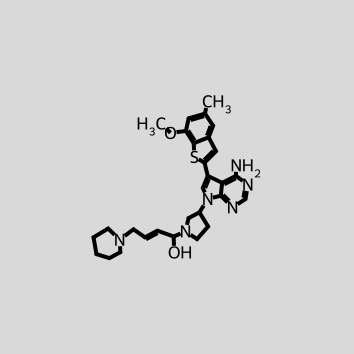 COc1cc(C)cc2cc(-c3cn(C4CCN(C(O)/C=C/CN5CCCCC5)C4)c4ncnc(N)c34)sc12